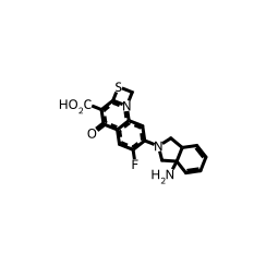 NC12C=CC=CC1CN(c1cc3c(cc1F)c(=O)c(C(=O)O)c1n3CS1)C2